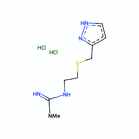 CNC(=N)NCCSCc1cc[nH]n1.Cl.Cl